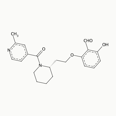 Cc1cc(C(=O)N2CCCC[C@H]2CCOc2cccc(O)c2C=O)ccn1